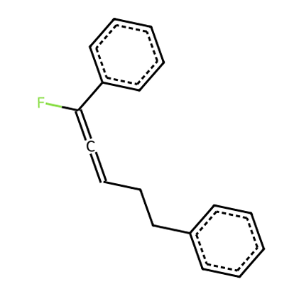 FC(=C=CCCc1ccccc1)c1ccccc1